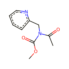 COC(=O)N(Cc1ccccn1)C(C)=O